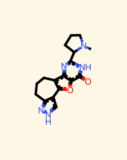 CN1CCCC1c1nc2c3c(oc2c(=O)[nH]1)-c1c[nH]nc1CCC3